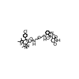 Cc1sc2c(c1C)C(c1ccc(Cl)cc1)=N[C@@H](CC(=O)NCCOCCNc1cccc3nc(C)n(C4CCC(=O)NC4=O)c(=O)c13)c1nnc(C)n1-2